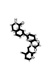 Cc1ccnc(C)c1CN1C(=O)COc2ccc(-c3ccc4c(c3)C(=O)NCC4)nc21